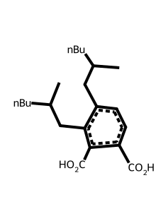 CCCCC(C)Cc1ccc(C(=O)O)c(C(=O)O)c1CC(C)CCCC